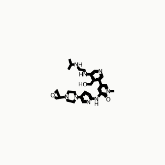 CC(C)NCCNc1cncc(-c2cc(Nc3ccc(N4CCN(C5COC5)CC4)cn3)c(=O)n(C)c2)c1CO